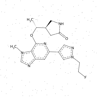 C[C@@H](Oc1nc(-c2cnn(CCF)c2)cc2ncn(C)c12)[C@H]1CNC(=O)C1